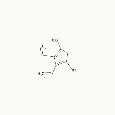 C=Cc1c(C(C)(C)C)sc(C(C)(C)C)c1C=C